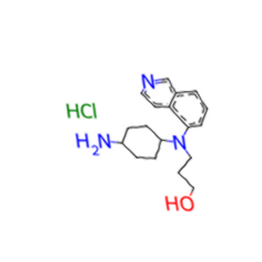 Cl.NC1CCC(N(CCCO)c2cccc3cnccc23)CC1